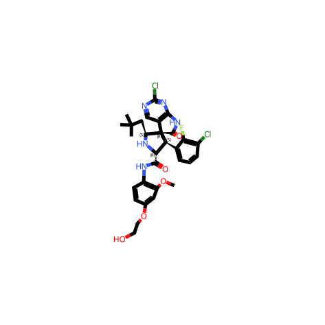 COc1cc(OCCO)ccc1NC(=O)[C@@H]1N[C@@H](CC(C)(C)C)[C@@]2(C(=O)Nc3nc(Cl)ncc32)[C@H]1c1cccc(Cl)c1F